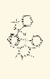 Cc1c(C)c(C)c([Si](O[Si](O[Si](C)(C)C)(c2ccccc2)c2ccccc2)(c2ccccc2)c2ccccc2)c(C)c1C